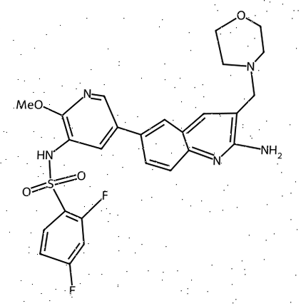 COc1ncc(-c2ccc3nc(N)c(CN4CCOCC4)cc3c2)cc1NS(=O)(=O)c1ccc(F)cc1F